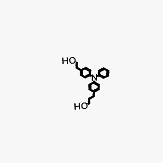 OCCCc1ccc(N(c2ccccc2)c2ccc(CCO)cc2)cc1